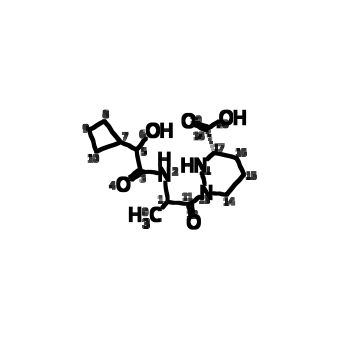 CC(NC(=O)C(O)C1CCC1)C(=O)N1CCC[C@@H](C(=O)O)N1